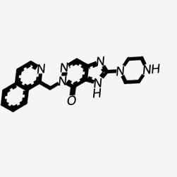 O=c1c2[nH]c(N3CCNCC3)nc2cnn1Cc1nccc2ccccc12